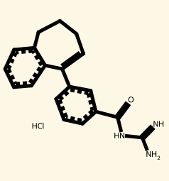 Cl.N=C(N)NC(=O)c1cccc(C2=CCCCc3ccccc32)c1